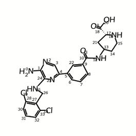 Nc1ncc(-c2cccc(C(=O)NC3CCN[C@@H](C(=O)O)C3)c2)nc1NCc1c(Cl)cccc1Cl